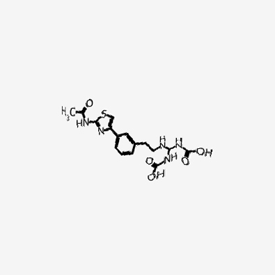 CC(=O)Nc1nc(-c2cccc(CCNC(NC(=O)O)NC(=O)O)c2)cs1